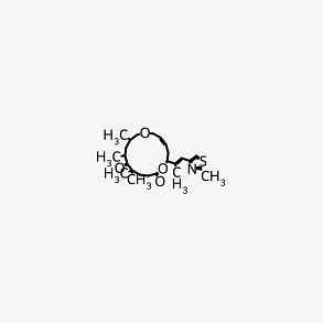 CC(=Cc1csc(C)n1)C1CC=CCOCC(C)CC(C)C(=O)C(C)(C)CCC(=O)O1